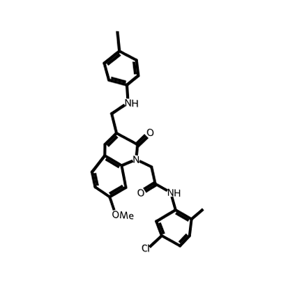 COc1ccc2cc(CNc3ccc(C)cc3)c(=O)n(CC(=O)Nc3cc(Cl)ccc3C)c2c1